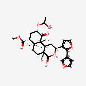 COC(=O)[C@@H]1C[C@H](OC(C)O)C(=O)[C@H]2[C@@]1(C)CC[C@H]1C(=O)O[C@H](c3ccoc3-c3ccoc3)C[C@]21C